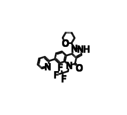 O=C1C2=CNN(C3CCCCO3)C2c2ccc(-c3ccccn3)cc2N1CC(F)(F)F